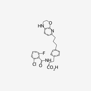 O=C(N[C@@H](Cc1ccc(CCCc2ccc3c(n2)OCCN3)cc1)C(=O)O)c1c(F)cccc1Cl